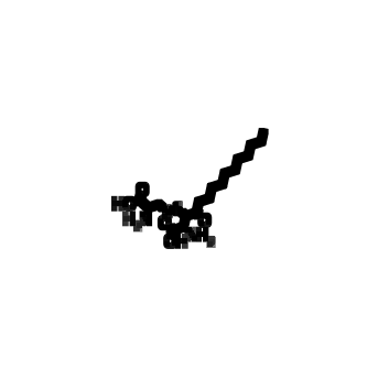 CCCCCCCCCCCC(=O)C(SSC[C@H](N)C(=O)O)[C@H](N)C(=O)O